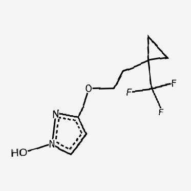 On1ccc(OCCC2(C(F)(F)F)CC2)n1